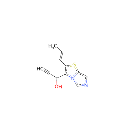 C#CC(O)c1c(C=CC)sc2cncn12